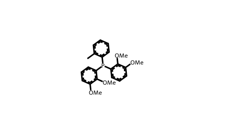 COc1cccc(P(c2ccccc2C)c2cccc(OC)c2OC)c1OC